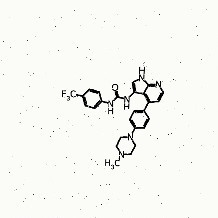 CN1CCN(c2ccc(-c3ccnc4[nH]cc(NC(=O)Nc5ccc(C(F)(F)F)cc5)c34)cc2)CC1